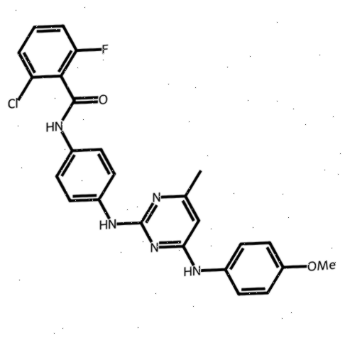 COc1ccc(Nc2cc(C)nc(Nc3ccc(NC(=O)c4c(F)cccc4Cl)cc3)n2)cc1